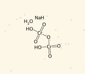 O.[NaH].[O]=[Cr](=[O])([OH])[O][Cr](=[O])(=[O])[OH]